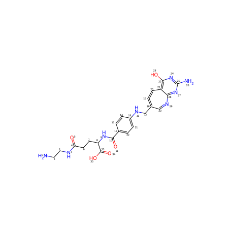 NCCNC(=O)CCC(NC(=O)c1ccc(NCC2=C=Cc3c(O)nc(N)nc3N=C2)cc1)C(=O)O